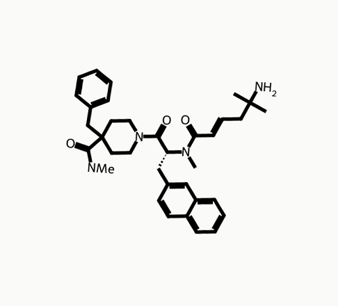 CNC(=O)C1(Cc2ccccc2)CCN(C(=O)[C@@H](Cc2ccc3ccccc3c2)N(C)C(=O)C=CCC(C)(C)N)CC1